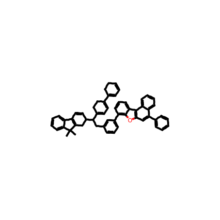 CC1(C)C2=C(C=CC(C(Cc3cccc(-c4cccc5c4oc4cc(-c6ccccc6)c6ccccc6c45)c3)C3=CC=C(C4=CC=CCC4)CC3)C2)c2ccccc21